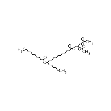 CCCCCCCCCC(=O)OC(CCCCCC)CCCCCCCCCCC(=O)OCC(COC(C)=O)OC(C)=O